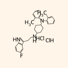 Cc1ccccc1N(c1ccccc1C)C1CCC(NCCc2c[nH]c3ccc(F)cc23)CC1.Cl.Cl